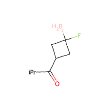 BC1(F)CC(C(=O)C(C)C)C1